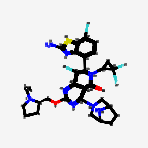 CN1CCC[C@H]1COc1nc(N2CC3CCC(C2)N3)c2c(=O)n(C3CC3(F)F)c(-c3ccc(F)c4sc(N)nc34)c(F)c2n1